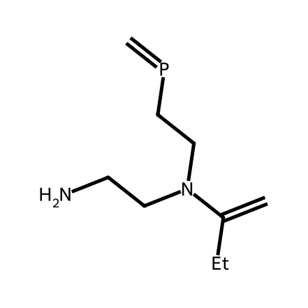 C=PCCN(CCN)C(=C)CC